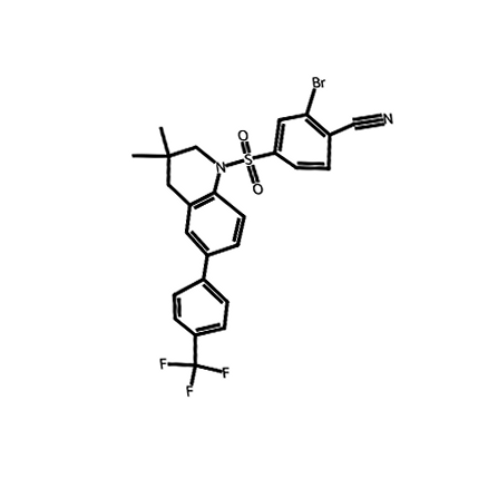 CC1(C)Cc2cc(-c3ccc(C(F)(F)F)cc3)ccc2N(S(=O)(=O)c2ccc(C#N)c(Br)c2)C1